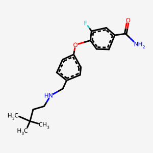 CC(C)(C)CCNCc1ccc(Oc2ccc(C(N)=O)cc2F)cc1